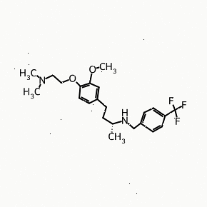 COc1cc(CC[C@@H](C)NCc2ccc(C(F)(F)F)cc2)ccc1OCCN(C)C